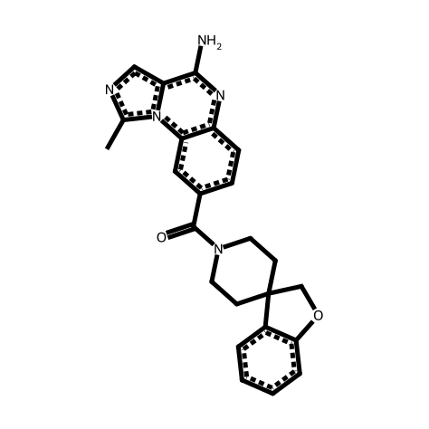 Cc1ncc2c(N)nc3ccc(C(=O)N4CCC5(CC4)COc4ccccc45)cc3n12